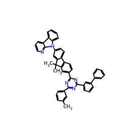 Cc1cccc(-c2nc(-c3cccc(-c4ccccc4)c3)nc(-c3ccc4c(c3)C(C)(C)c3cc(-n5c6ccccc6c6cccnc65)ccc3-4)n2)c1